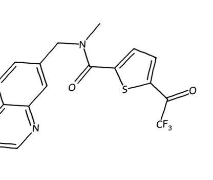 CN(Cc1ccc2cccnc2c1)C(=O)c1ccc(C(=O)C(F)(F)F)s1